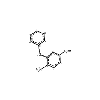 COc1ccc(N)c(Oc2ccccc2)c1